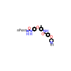 CCCCCNC(=O)Nc1ccc(Oc2ccc(NC(=O)c3ccc(OC4CCN(CC)CC4)cc3)cc2C)cc1